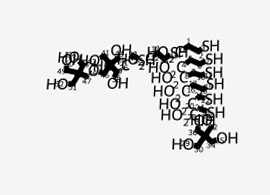 O=C(O)CCS.O=C(O)CCS.O=C(O)CCS.O=C(O)CCS.O=C(O)CCS.O=C(O)CS.O=C(O)CS.O=C(O)CS.OCC(CO)(CO)CO.OCC(CO)(CO)COCC(CO)(CO)CO